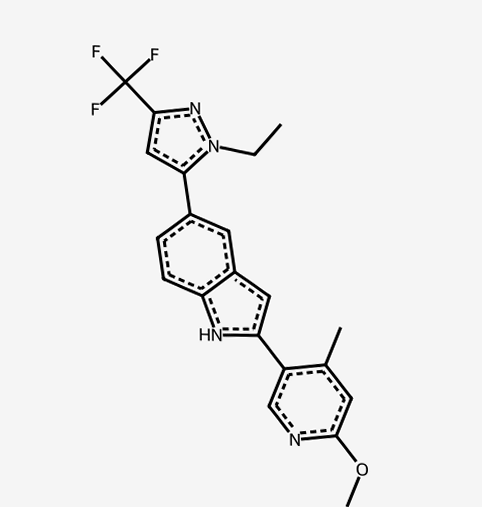 CCn1nc(C(F)(F)F)cc1-c1ccc2[nH]c(-c3cnc(OC)cc3C)cc2c1